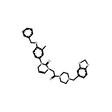 Cc1cc(N2CC=CN(CC(=O)N3CCN(Cc4ccc5c(c4)OCO5)CC3)C2=O)ccc1OCc1ccccc1